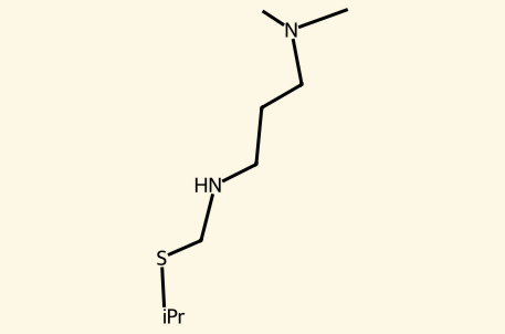 CC(C)SCNCCCN(C)C